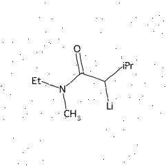 [Li][CH](C(=O)N(C)CC)C(C)C